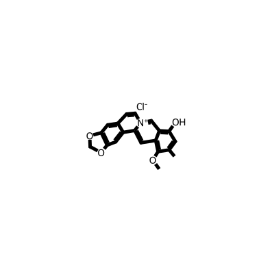 COc1c(C)cc(O)c2c[n+]3ccc4cc5c(cc4c3cc12)OCO5.[Cl-]